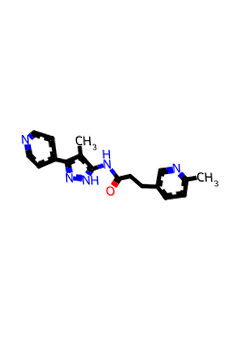 Cc1ccc(CCC(=O)Nc2[nH]nc(-c3ccncc3)c2C)cn1